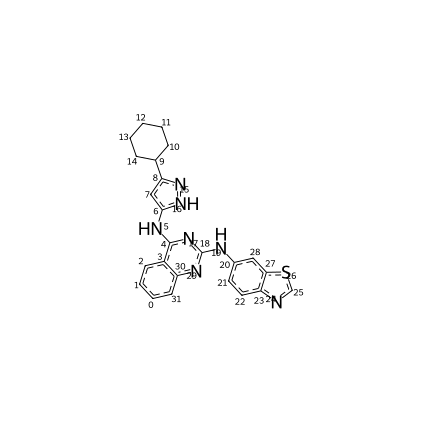 c1ccc2c(Nc3cc(C4CCCCC4)n[nH]3)nc(Nc3ccc4ncsc4c3)nc2c1